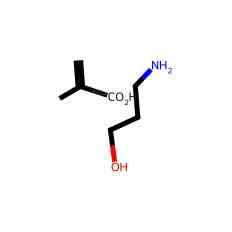 C=C(C)C(=O)O.NCCCO